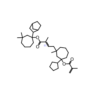 C=C(C)C(=O)OC1(C2CCCC2)CCCCC(C)(C/C=C(\C)C(=O)OC2(C3CC4CCC3C4)CCCCC(C)(C)C2)C1